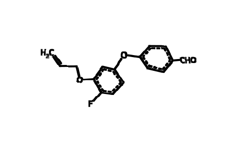 C=CCOc1cc(Oc2ccc(C=O)cc2)ccc1F